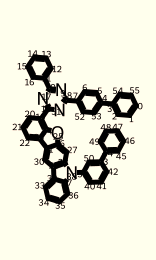 c1ccc(-c2ccc(-c3nc(-c4ccccc4)nc(-c4cccc5c4oc4cc6c(cc45)c4ccccc4n6-c4cccc(-c5ccccc5)c4)n3)cc2)cc1